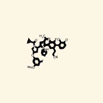 COc1cc(F)cc(OC2CC(c3cc4c(C)nc5c(F)c(-c6cccc(Cl)c6Cl)c(CCC#N)cc5c4n3C3C4CNC3C4)N(C(=O)C3CC3)C2)c1